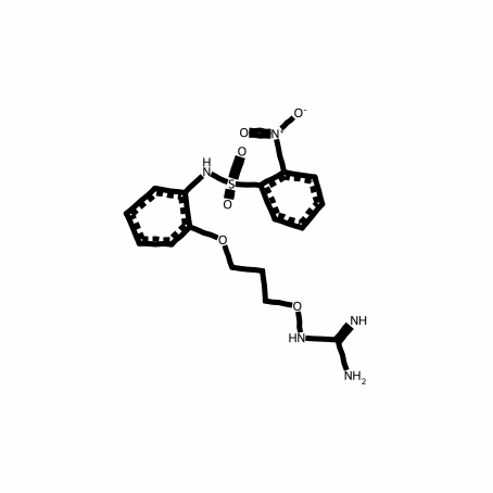 N=C(N)NOCCCOc1ccccc1NS(=O)(=O)c1ccccc1[N+](=O)[O-]